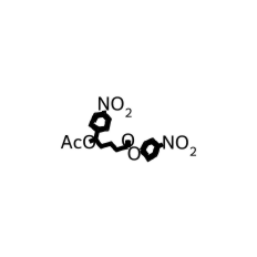 CC(=O)OC(CCCC(=O)Oc1ccc([N+](=O)[O-])cc1)c1ccc([N+](=O)[O-])cc1